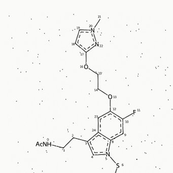 CC(=O)NCCc1cn(SI)c2cc(F)c(OCCOc3ccn(C)n3)cc12